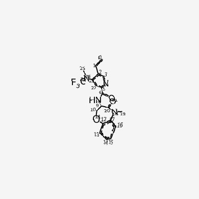 C=Cc1cnc(C(=O)N[C@H]2COc3ccccc3N(C)C2=O)cc1N(C)C(F)(F)F